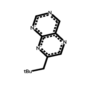 CC(C)(C)Cc1cnc2cncnc2n1